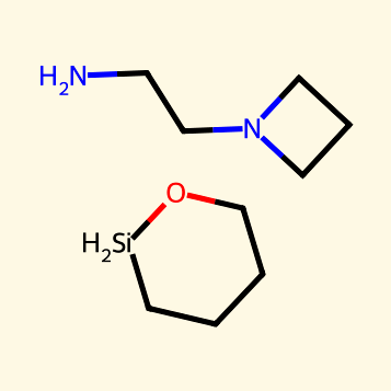 C1CC[SiH2]OC1.NCCN1CCC1